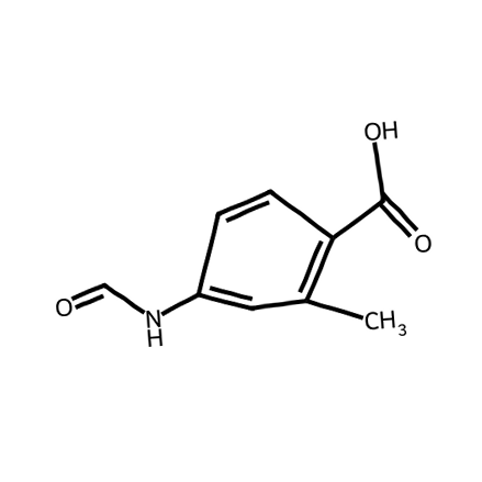 Cc1cc(NC=O)ccc1C(=O)O